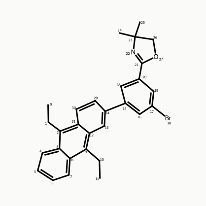 CCc1c2ccccc2c(CC)c2cc(-c3cc(Br)cc(C4=NC(C)(C)CO4)c3)ccc12